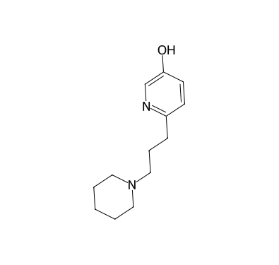 Oc1ccc(CCCN2CCCCC2)nc1